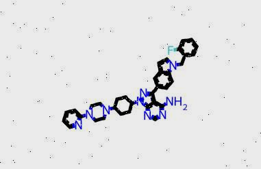 Nc1ncnc2c1c(-c1ccc3c(ccn3Cc3ccccc3F)c1)nn2C1CCC(N2CCN(c3ccccn3)CC2)CC1